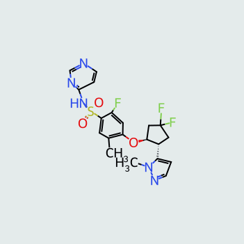 Cc1cc(S(=O)(=O)Nc2ccncn2)c(F)cc1O[C@H]1CC(F)(F)C[C@@H]1c1ccnn1C